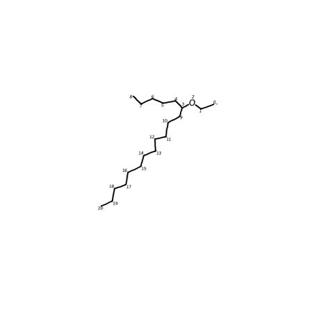 [CH2]COC(CCCCC)CCCCCCCCCCCC